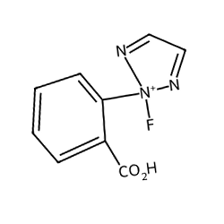 O=C(O)c1ccccc1[N+]1(F)N=CC=N1